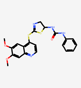 COc1cc2nccc(SC3=NCC(NC(=O)Nc4ccccc4)S3)c2cc1OC